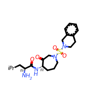 CC(C)C[C@H](N)C(=O)N[C@H]1CCCN(S(=O)(=O)N2CCc3ccccc3C2)CC1=O